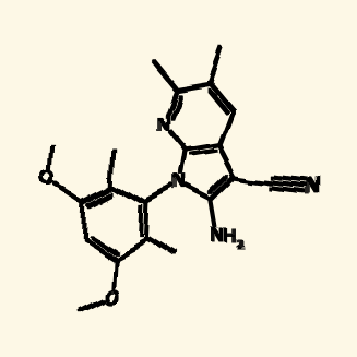 COc1cc(OC)c(C)c(-n2c(N)c(C#N)c3cc(C)c(C)nc32)c1C